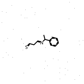 CC(N=CCC=S)c1ccccc1